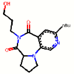 CCCCc1cc2c(cn1)N1CCCC1C(=O)N(CCCO)C2=O